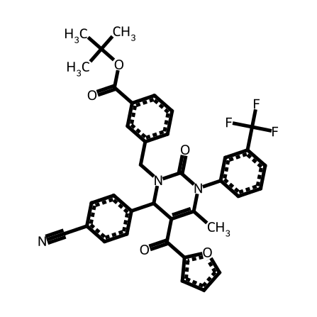 CC1=C(C(=O)c2ccco2)C(c2ccc(C#N)cc2)N(Cc2cccc(C(=O)OC(C)(C)C)c2)C(=O)N1c1cccc(C(F)(F)F)c1